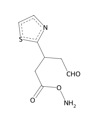 NOC(=O)CC(CC=O)c1nccs1